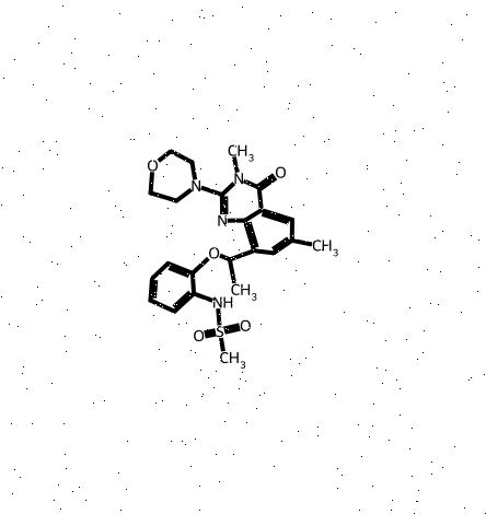 Cc1cc(C(C)Oc2ccccc2NS(C)(=O)=O)c2nc(N3CCOCC3)n(C)c(=O)c2c1